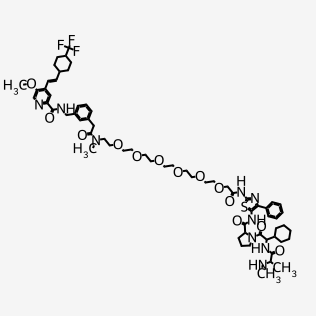 CNC(C)C(=O)NC(C(=O)N1CCCC1C(=O)Nc1sc(NC(=O)COCCOCCOCCOCCOCCOCCN(C)C(=O)Cc2cccc(CNC(=O)c3cc(C=CC4CCC(C(F)(F)F)CC4)c(OC)cn3)c2)nc1-c1ccccc1)C1CCCCC1